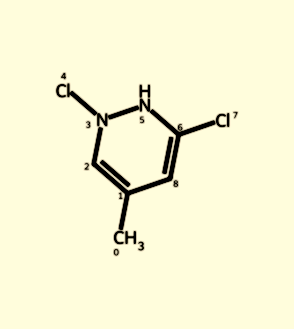 CC1=CN(Cl)NC(Cl)=C1